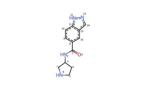 O=C(NC1CCNC1)c1ccc2[nH]ncc2c1